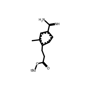 Cc1cc(C(=N)N)ccc1CCC(=O)OC(C)(C)C